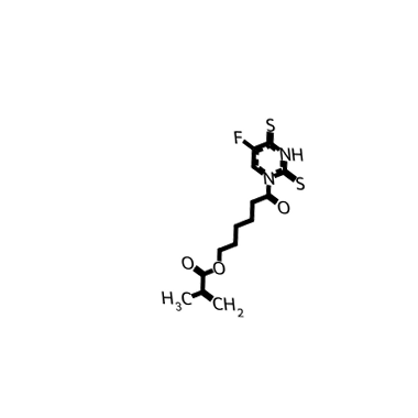 C=C(C)C(=O)OCCCCCC(=O)n1cc(F)c(=S)[nH]c1=S